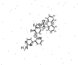 Nc1nccc(-c2cccnc2Oc2ccc(NS(=O)(=O)C3c4ccccc4-c4ccccc43)c(F)c2F)n1